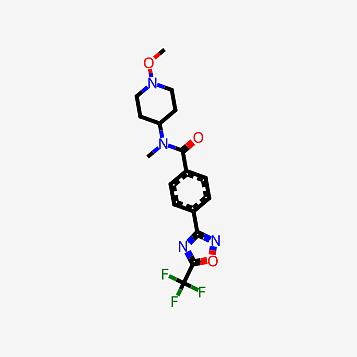 CON1CCC(N(C)C(=O)c2ccc(-c3noc(C(F)(F)F)n3)cc2)CC1